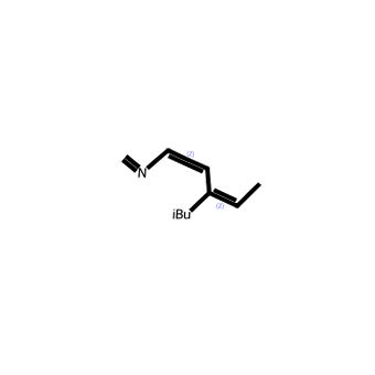 C=N/C=C\C(=C/C)C(C)CC